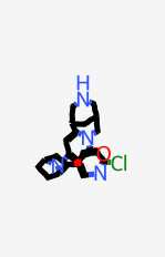 O=c1cc(N2C3CCC2C(c2ccc(Cl)nc2)C3)cc2n1CC1CNCC2C1